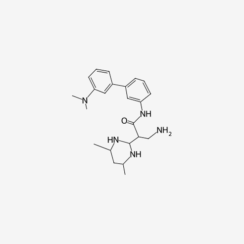 CC1CC(C)NC(C(CN)C(=O)Nc2cccc(-c3cccc(N(C)C)c3)c2)N1